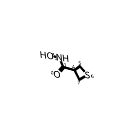 O=C(NO)C1CSC1